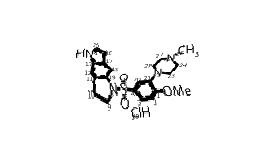 COc1ccc(S(=O)(=O)N2CCc3cc4[nH]ccc4cc32)cc1N1CCN(C)CC1.Cl